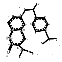 CC(C)c1ccc(C(C)Cc2ccc3[nH]c(=O)c(C(C)C)cc3c2)cc1